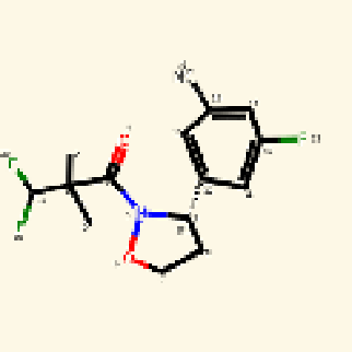 CC(C)(C(=O)N1OCC[C@H]1c1cc(F)cc(C#N)c1)C(F)F